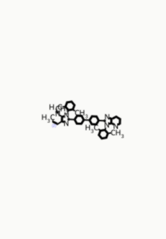 C=Nc1c(/C=C\C)nc(-c2ccc(-c3ccc(-c4nc5cccnc5n4-c4c(C)cccc4C)cc3)cc2)n1-c1c(C)cccc1C